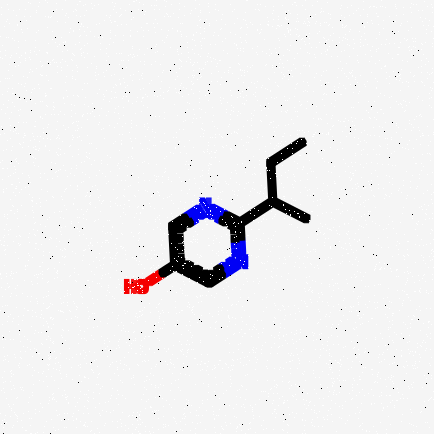 CCC(C)c1ncc(O)cn1